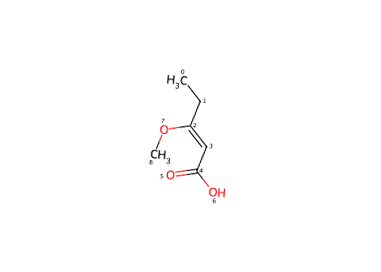 CCC(=CC(=O)O)OC